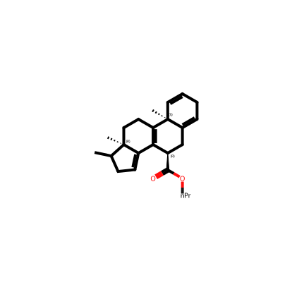 CCCOC(=O)[C@@H]1CC2=CCC=C[C@]2(C)C2=C1C1=CCC(C)[C@@]1(C)CC2